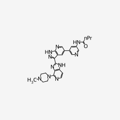 CCCC(=O)Nc1cncc(-c2cnc3[nH]nc(-c4nc5c(N6CCN(C)CC6)nccc5[nH]4)c3c2)c1